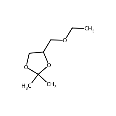 CCOCC1COC(C)(C)O1